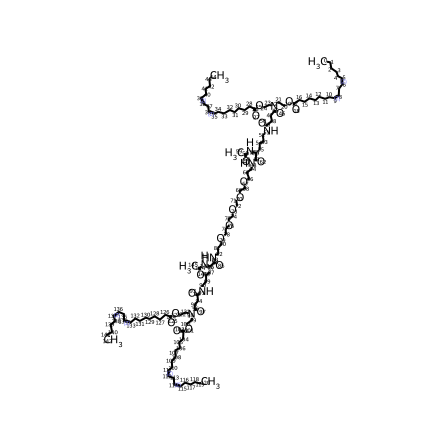 CCCCC/C=C\C/C=C\CCCCCCCC(=O)OCCN(CCOC(=O)CCCCCCC/C=C\C/C=C\CCCCC)C(=O)CCC(=O)NCCCC[C@H](NC(C)=O)C(=O)NCCCOCCOCCOCCOCCOCCCNC(=O)[C@H](CCCCNC(=O)CCC(=O)N(CCOC(=O)CCCCCCC/C=C\C/C=C\CCCCC)CCOC(=O)CCCCCCC/C=C\C/C=C\CCCCC)NC(C)=O